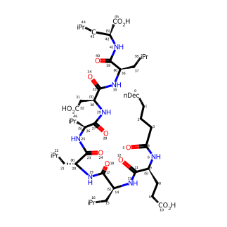 CCCCCCCCCCCCCC(=O)N[C@@H](CCC(=O)O)C(=O)N[C@@H](CC(C)C)C(=O)N[C@H](CC(C)C)C(=O)N[C@H](C(=O)N[C@@H](CC(=O)O)C(=O)N[C@H](CC(C)C)C(=O)N[C@@H](CC(C)C)C(=O)O)C(C)C